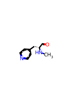 CN[C@@H](C=O)Cc1ccncc1